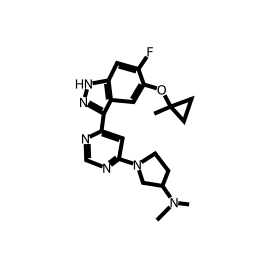 CN(C)C1CCN(c2cc(-c3n[nH]c4cc(F)c(OC5(C)CC5)cc34)ncn2)C1